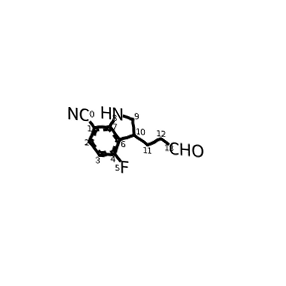 N#Cc1ccc(F)c2c1NCC2CCC=O